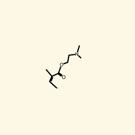 [CH2]C=C(C)C(=O)OCCN(C)C